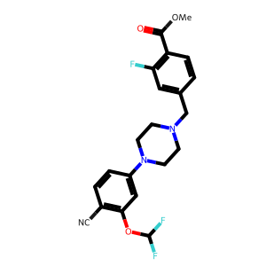 COC(=O)c1ccc(CN2CCN(c3ccc(C#N)c(OC(F)F)c3)CC2)cc1F